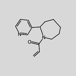 C=CC(=O)N1CCCCCC1c1cccnc1